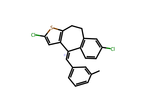 Cc1cccc(/C=C2\c3ccc(Cl)cc3CCc3sc(Cl)cc32)c1